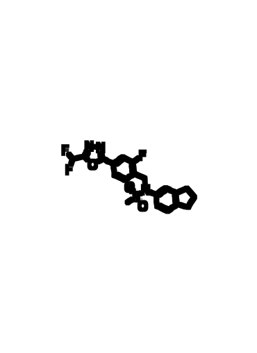 CS(=O)(=O)N(Cc1ccc(-c2nnc(C(F)F)o2)cc1F)c1ccc2c(c1)CCC2